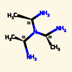 C[C@@H](N)N([C@@H](C)N)[C@@H](C)N